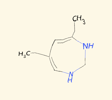 CC1=CNCNC(C)=C1